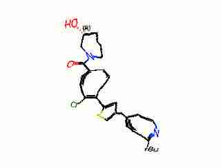 CC(C)(C)c1cc(-c2csc(-c3ccc(C(=O)N4CCC[C@@H](O)C4)cc3Cl)c2)ccn1